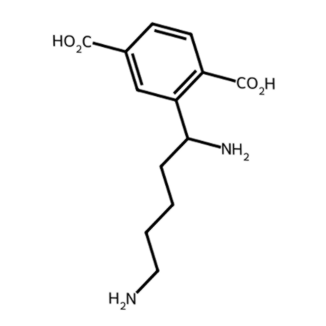 NCCCCC(N)c1cc(C(=O)O)ccc1C(=O)O